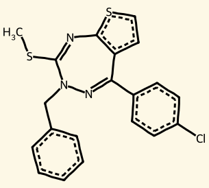 CSC1=Nc2sccc2C(c2ccc(Cl)cc2)=NN1Cc1ccccc1